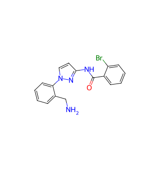 NCc1ccccc1-n1ccc(NC(=O)c2ccccc2Br)n1